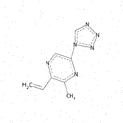 C=Cc1ncc(-n2cnnn2)nc1C